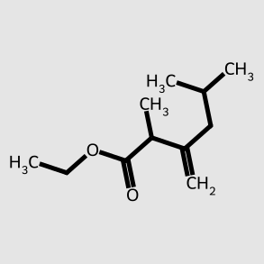 C=C(CC(C)C)C(C)C(=O)OCC